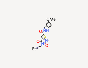 CC/C=C/Cn1c(=O)c2cc(C(=O)NCc3cccc(OC)c3)sc2n(C)c1=O